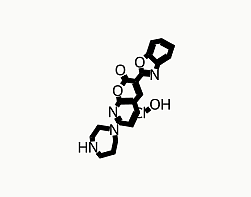 O=c1oc2nc(N3CCCNCC3)ccc2cc1-c1nc2ccccc2o1.OCl